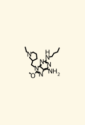 CCCCNc1nc(N)c2nc(OC)n(CC3CCCN(CC)C3)c2n1